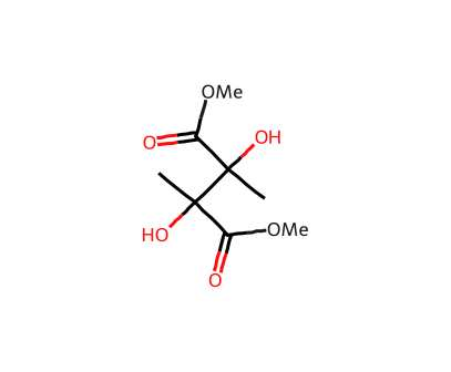 COC(=O)C(C)(O)C(C)(O)C(=O)OC